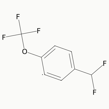 FC(F)c1c[c]c(OC(F)(F)F)cc1